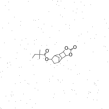 CCC(C)(C)C(=O)OC1CC2CC1C1C3OC(=O)OC3C21